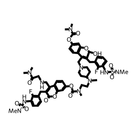 CNS(=O)(=O)Nc1cccc(CC2=C(CN3CCC(N(C)CCN(C)C(=O)Oc4ccc5c(CNCC(=O)N(C)C)c(Cc6cccc(NS(=O)(=O)NC)c6F)c(=O)oc5c4)CC3)c3ccc(OC(=O)N(C)C)cc3OC2O)c1F